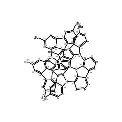 CC(C)(C)c1ccc2c(c1)c1cc(C(C)(C)C)ccc1n2-c1cccc2c3cccc(-n4c5ccc(C(C)(C)C)cc5c5cc(C(C)(C)C)ccc54)c3n(-c3cc4c5c(c3)-n3c6ccc(C(C)(C)C)cc6c6cc(C(C)(C)C)cc(c63)B5c3cc(C(C)(C)C)cc5c6cc(C(C)(C)C)ccc6n-4c35)c12